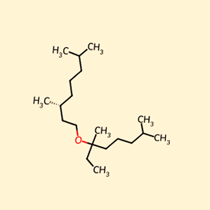 CCC(C)(CCCC(C)C)OCC[C@H](C)CCCC(C)C